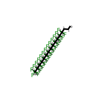 CCCC(F)(F)C(F)(F)C(F)(F)C(F)(F)C(F)(F)C(F)(F)C(F)(F)C(F)(F)C(F)(F)C(F)(F)C(F)(F)C(F)(F)C(F)(F)F